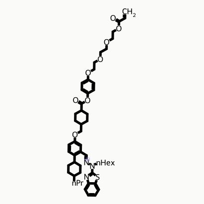 C=CC(=O)OCCOCCOCCOc1ccc(OC(=O)C2CCC(COc3ccc(C4CCC(CCC)CC4)c(/C=N/N(CCCCCC)c4nc5ccccc5s4)c3)CC2)cc1